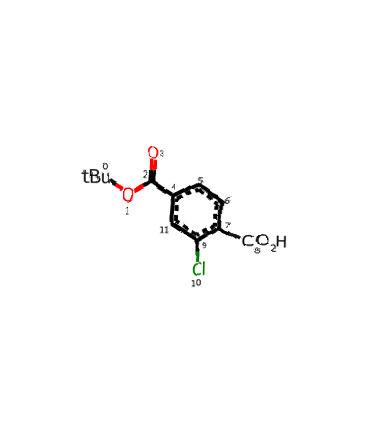 CC(C)(C)OC(=O)c1ccc(C(=O)O)c(Cl)c1